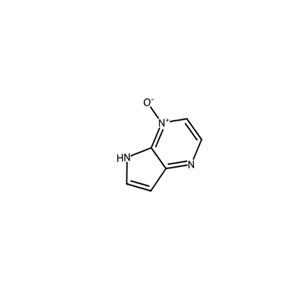 [O-][n+]1ccnc2cc[nH]c21